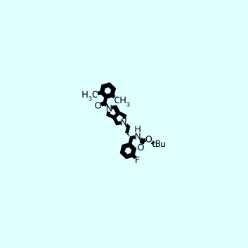 Cc1cccc(C)c1C(=O)N1C=C2CN(CC[C@H](NC(=O)OC(C)(C)C)c3cccc(F)c3)CC2C1